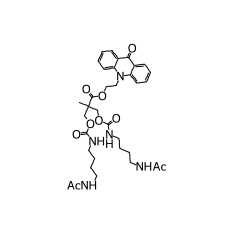 CC(=O)NCCCCNC(=O)OCC(C)(COC(=O)NCCCCNC(C)=O)C(=O)OCCn1c2ccccc2c(=O)c2ccccc21